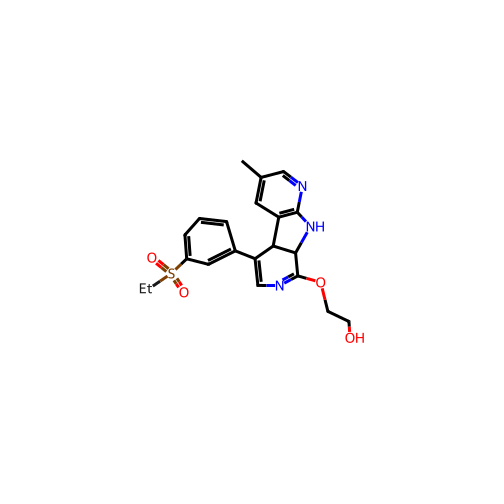 CCS(=O)(=O)c1cccc(C2=CN=C(OCCO)C3Nc4ncc(C)cc4C23)c1